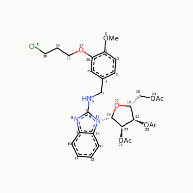 COc1ccc(CNc2nc3ccccc3n2[C@@H]2O[C@H](COC(C)=O)[C@@H](OC(C)=O)[C@H]2OC(C)=O)cc1OCCCCl